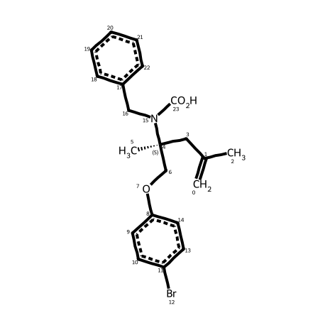 C=C(C)C[C@@](C)(COc1ccc(Br)cc1)N(Cc1ccccc1)C(=O)O